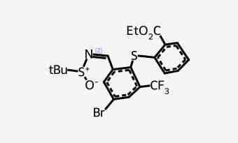 CCOC(=O)c1ccccc1Sc1c(/C=N\[S+]([O-])C(C)(C)C)cc(Br)cc1C(F)(F)F